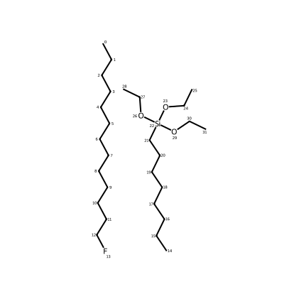 CCCCCCCCCCCCCF.CCCCCCCC[Si](OCC)(OCC)OCC